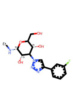 CCN[C@@H]1OC(CO)[C@H](O)C(n2cc(-c3cccc(F)c3)nn2)[C@@H]1O